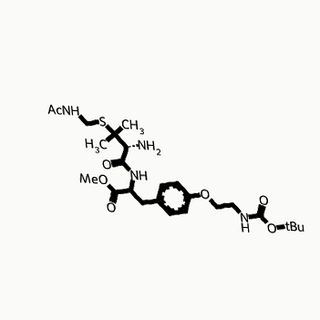 COC(=O)C(Cc1ccc(OCCNC(=O)OC(C)(C)C)cc1)NC(=O)[C@@H](N)C(C)(C)SCNC(C)=O